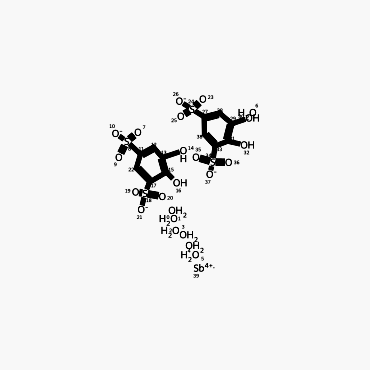 O.O.O.O.O.O.O.O=S(=O)([O-])c1cc(O)c(O)c(S(=O)(=O)[O-])c1.O=S(=O)([O-])c1cc(O)c(O)c(S(=O)(=O)[O-])c1.[Sb+4]